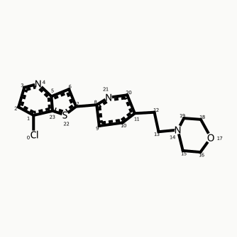 Clc1ccnc2cc(-c3ccc(CCN4CCOCC4)cn3)sc12